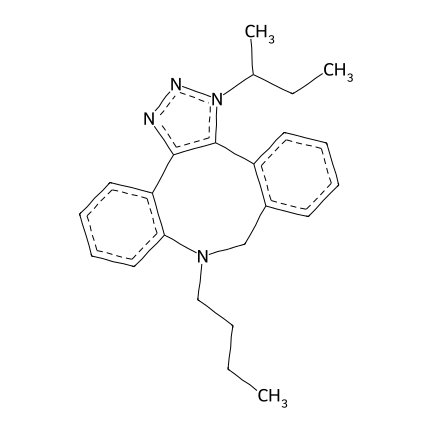 CCCCN1Cc2ccccc2-c2c(nnn2C(C)CC)-c2ccccc21